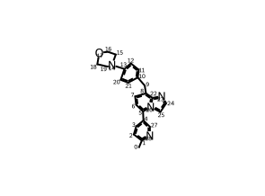 Cc1ccc(-c2ccc(Cc3ccc(N4CCOCC4)cc3)c3nccn23)cn1